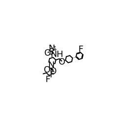 CC(OC(=O)N1CCC(N[S+]([O-])N(C)C)C(CO[C@H]2CC[C@@H](c3cccc(F)c3)CC2)C1)C(F)F